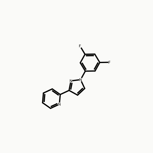 Fc1cc(F)cc(-n2ccc(-c3ccccn3)n2)c1